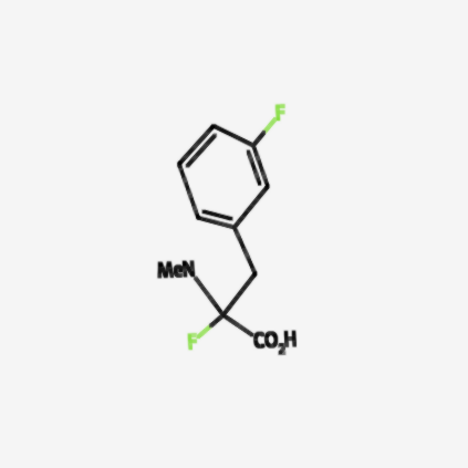 CNC(F)(Cc1cccc(F)c1)C(=O)O